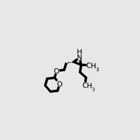 CCCC1(C)N[C@H]1CCOC1CCCCO1